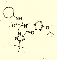 CC(C)Oc1ccc(CN2C(=O)c3cc(C(C)(C)C)nn3CC2(C)C(=O)NC2CCCCCC2)cc1